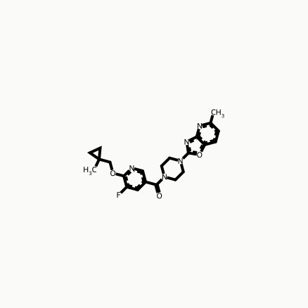 Cc1ccc2oc(N3CCN(C(=O)c4cnc(OCC5(C)CC5)c(F)c4)CC3)nc2n1